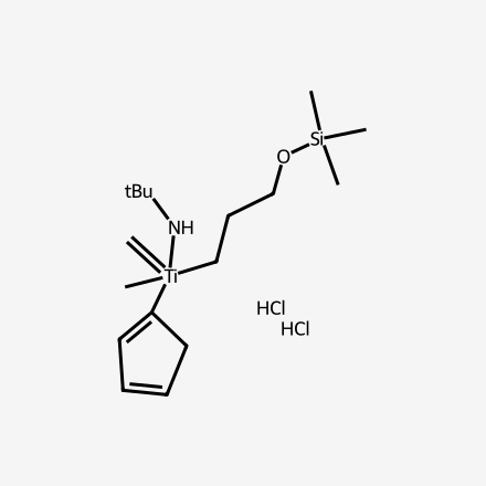 Cl.Cl.[CH2]=[Ti]([CH3])([CH2]CCO[Si](C)(C)C)([NH]C(C)(C)C)[C]1=CC=CC1